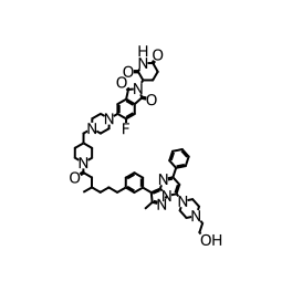 Cc1nn2c(N3CCN(CCO)CC3)cc(-c3ccccc3)nc2c1-c1cccc(CCCC(C)CC(=O)N2CCC(CN3CCN(c4cc5c(cc4F)C(=O)N(C4CCC(=O)NC4=O)C5=O)CC3)CC2)c1